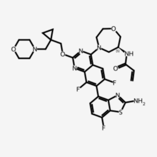 C=CC(=O)N[C@@H]1COCCN(c2nc(OCC3(CN4CCOCC4)CC3)nc3c(F)c(-c4ccc(F)c5sc(N)nc45)c(F)cc23)C1